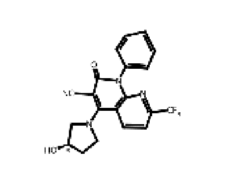 N#Cc1c(N2CC[C@@H](O)C2)c2ccc(C(F)(F)F)nc2n(-c2ccccc2)c1=O